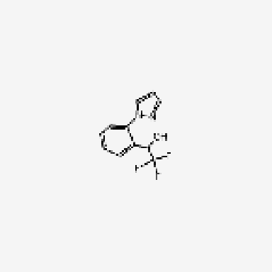 OC(c1ccccc1-n1cccn1)C(F)(F)F